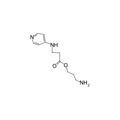 NCCCOC(=O)CCNc1ccncc1